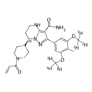 [2H]C([2H])([2H])Oc1cc(-c2nn3c(c2C(N)=O)NCC[C@@H]3C2CCN(C(=O)C=C)CC2)cc(OC([2H])([2H])[2H])c1C